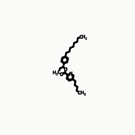 CCCCCCCCc1ccc(C(CC)OC(=O)c2ccc(CCCCC)cn2)cc1